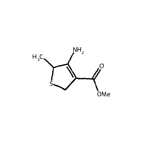 COC(=O)C1=C(N)C(C)SC1